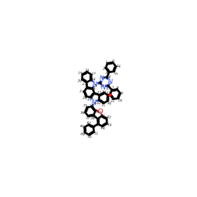 c1ccc(-c2nc(-c3ccccc3)nc(-n3c4ccccc4c4ccc5c(c6ccccc6n5-c5cccc6c5oc5cccc(-c7ccccc7)c56)c43)n2)cc1